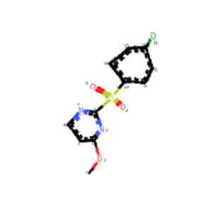 COc1ccnc(S(=O)(=O)c2ccc(Cl)cc2)n1